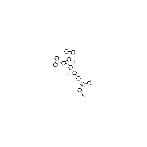 N#Cc1cccc(-c2cc(-c3ccc(-c4ccc(-c5cc(C#N)c(-n6c7ccc(-n8c9ccccc9c9ccccc98)cc7c7cc(-n8c9ccccc9c9ccccc98)ccc76)cc5C#N)cc4)cc3)nc(-c3cccc(C#N)c3)n2)c1